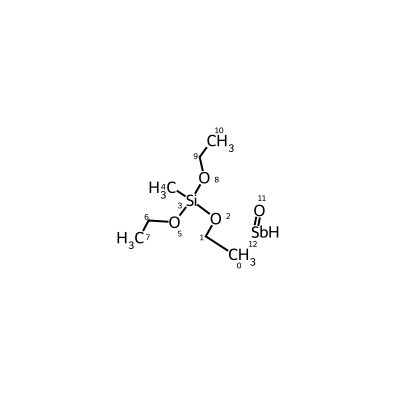 CCO[Si](C)(OCC)OCC.[O]=[SbH]